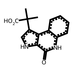 CC(C)(C(=O)O)c1c[nH]c2c(=O)[nH]c3ccccc3c12